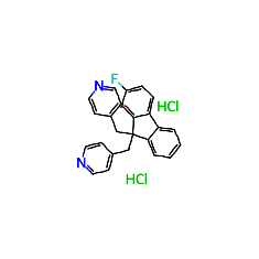 Cl.Cl.Fc1ccc2c(c1)C(Cc1ccncc1)(Cc1ccncc1)c1ccccc1-2